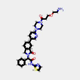 NCCOCCC(=O)N1CCN(c2ccc(-c3ccc4c(c3)C(=O)N(C(C(=O)Nc3nccs3)c3ccccc3)C4)cn2)CC1